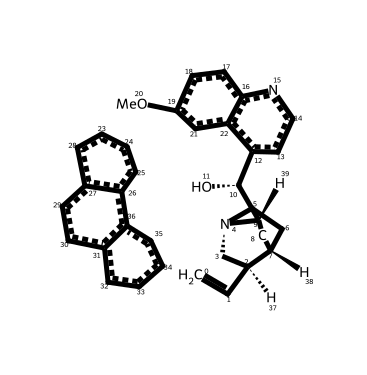 C=C[C@H]1C[N@]2CC[C@H]1C[C@H]2[C@H](O)c1ccnc2ccc(OC)cc12.c1ccc2c(c1)ccc1ccccc12